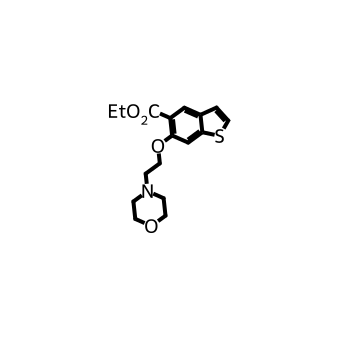 CCOC(=O)c1cc2ccsc2cc1OCCN1CCOCC1